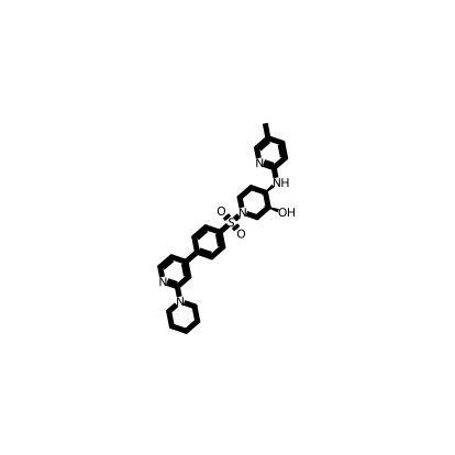 Cc1ccc(N[C@@H]2CCN(S(=O)(=O)c3ccc(-c4ccnc(N5CCCCC5)c4)cc3)C[C@@H]2O)nc1